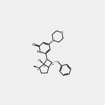 C[C@@H]1CCC2[C@@H](Cc3ccccc3)N(c3cc(N4CCOCC4)cc(=O)[nH]3)[C@H]21